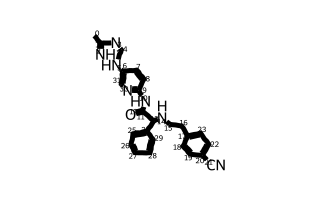 CC(=N)/N=C\Nc1ccc(NC(=O)C(NCCc2ccc(C#N)cc2)c2ccccc2)nc1